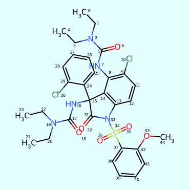 CCN(CC)C(=O)Nc1c(Cl)ccc2c1C(NC(=O)N(CC)CC)(c1ccccc1Cl)C(=O)N2S(=O)(=O)c1ccccc1OC